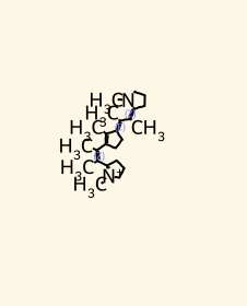 CC1=C(C(/C)=C(/C)C2=[N+](C)CCC2)CC/C1=C(C)\C(C)=C1\CCCN1C